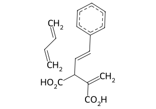 C=C(C(=O)O)C(C=Cc1ccccc1)C(=O)O.C=CC=C